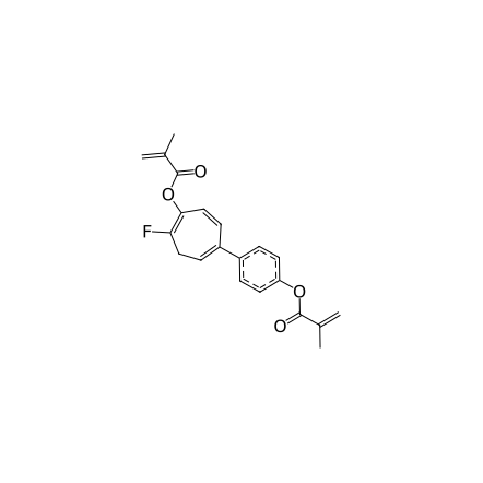 C=C(C)C(=O)OC1=C(F)CC=C(c2ccc(OC(=O)C(=C)C)cc2)C=C1